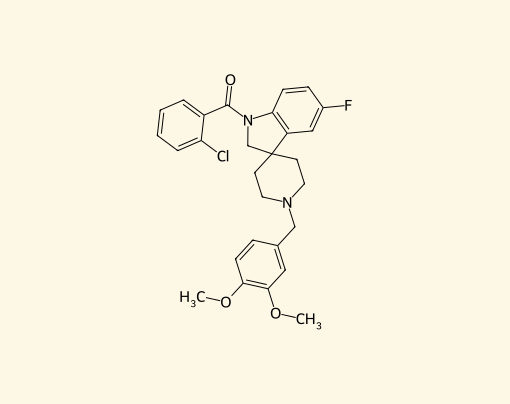 COc1ccc(CN2CCC3(CC2)CN(C(=O)c2ccccc2Cl)c2ccc(F)cc23)cc1OC